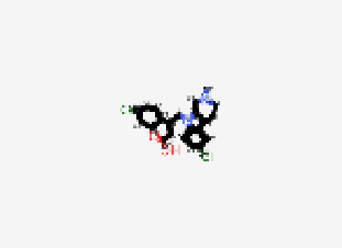 CN1CCc2c(n(CC(CC(=O)O)c3ccc(Cl)cc3)c3ccc(Cl)cc23)C1